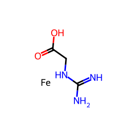 N=C(N)NCC(=O)O.[Fe]